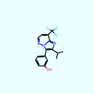 CC(C)c1nc2c(C(F)(F)F)ccnn2c1-c1cccc(O)c1